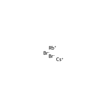 [Br-].[Br-].[Cs+].[Rb+]